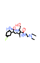 CCN(CC)CCNC(=O)c1c(CO)[nH]c(C=C2C(=O)Nc3ccc(F)cc32)c1C